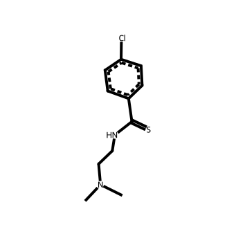 CN(C)CCNC(=S)c1ccc(Cl)cc1